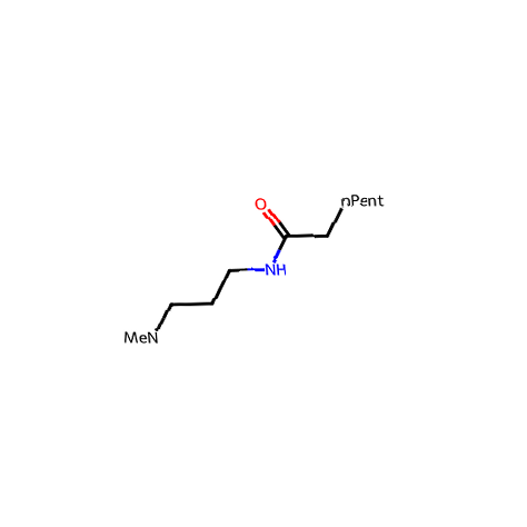 CCCCCCC(=O)NCCCNC